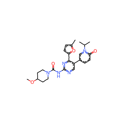 COC1CCN(C(=O)Nc2ncc(-c3ccc(=O)n(C(C)C)c3)c(-c3ccc(C)o3)n2)CC1